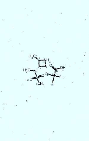 C[C@H]1NC[C@@H]1N(C)S(C)(=O)=O.O=C(O)C(F)(F)F